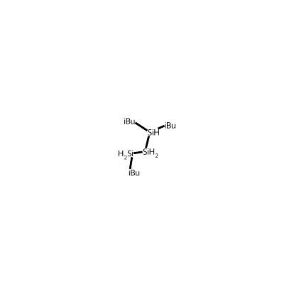 CCC(C)[SiH2][SiH2][SiH](C(C)CC)C(C)CC